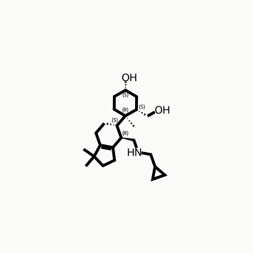 CC1(C)CCC2=C1CC[C@H]([C@@]1(C)CC[C@H](O)C[C@@H]1CO)[C@H]2CNCC1CC1